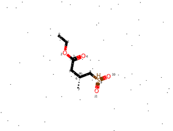 CCOC(=O)C[C@@H](C)C[SH](=O)=O